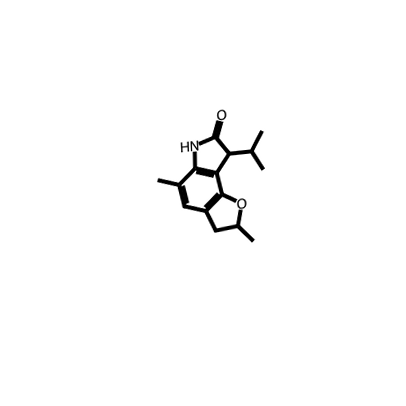 Cc1cc2c(c3c1NC(=O)C3C(C)C)OC(C)C2